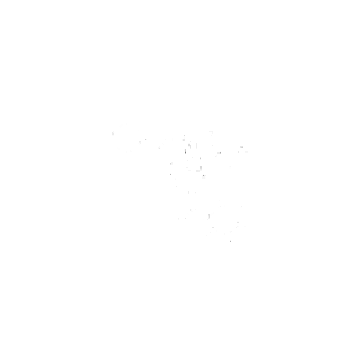 O=C(OC[C@@H](OC(=O)c1ccccc1)[C@@H](O)[C@H](O)[C@H](O)CO)c1ccccc1